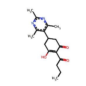 CCCC(=O)C1=C(O)CC(c2c(C)nc(C)nc2C)CC1=O